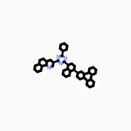 c1ccc(-c2nc(-c3cnc4c(ccc5ccccc54)c3)nc(-c3ccc(-c4ccc5c6ccccc6c6ccccc6c5c4)c4ccccc34)n2)cc1